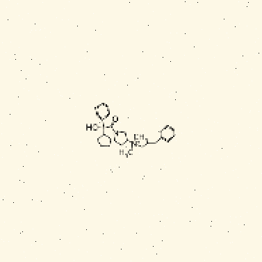 C[N+](C)(CCCc1ccccc1)C1CCN(C(=O)C(O)(c2ccccc2)C2CCCC2)C1